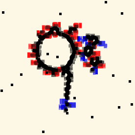 CNC(=N)NCCC/C=C/CCCC(C)CC(C)C1OC(=O)C(C)C(O)/C=C/C(C)C(O)CC(O)C(C)C(O)CCC(C)C(O)CC2(O)OC(CC(OC(=O)CC(=O)O)CC(O)CC(O)C(C)C(O)/C=C/C=C/C1C)CC(O)C2O.CN[C@@H]1[C@@H](O)[C@@H](O[C@@H]2[C@@H](O)[C@H](OC3OC(CN)=CCC3N)[C@@H](N)C[C@H]2N)OC[C@]1(C)O